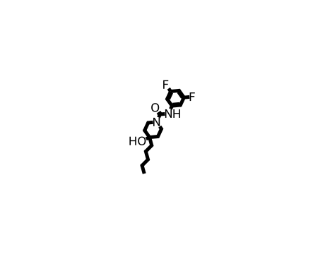 CCCCCC1(O)CCN(C(=O)Nc2cc(F)cc(F)c2)CC1